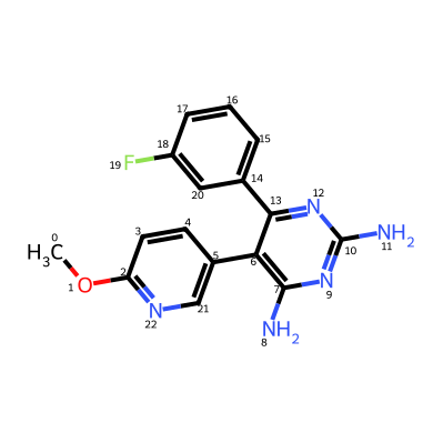 COc1ccc(-c2c(N)nc(N)nc2-c2cccc(F)c2)cn1